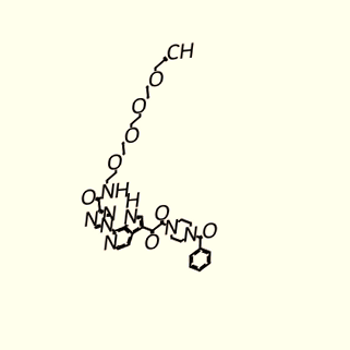 C#CCOCCOCCOCCOCCNC(=O)c1ncn(-c2nccc3c(C(=O)C(=O)N4CCN(C(=O)c5ccccc5)CC4)c[nH]c23)n1